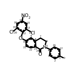 Cc1ccc(N2CCc3cc(Oc4c(Cl)cc([N+](=O)[O-])cc4Cl)ccc3C2=O)cc1